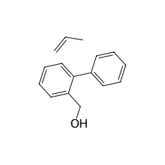 C=CC.OCc1ccccc1-c1ccccc1